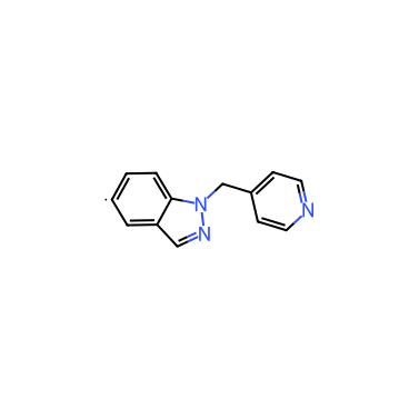 [c]1ccc2c(c1)cnn2Cc1ccncc1